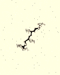 CSCCC(N)CC[C@H](O)COC(C)O